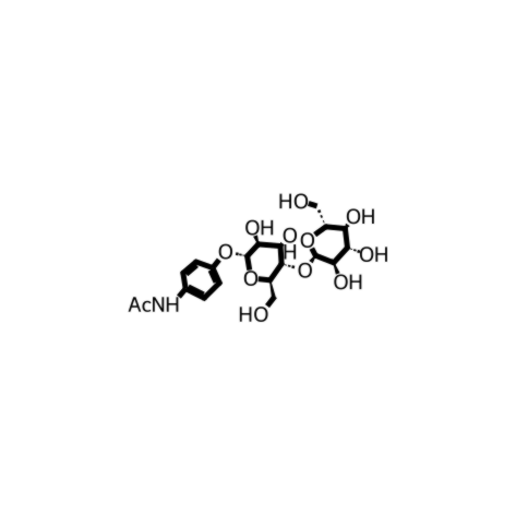 CC(=O)Nc1ccc(O[C@H]2O[C@H](CO)[C@@H](O[C@H]3O[C@H](CO)[C@@H](O)[C@H](O)[C@H]3O)[C@H](O)[C@@H]2O)cc1